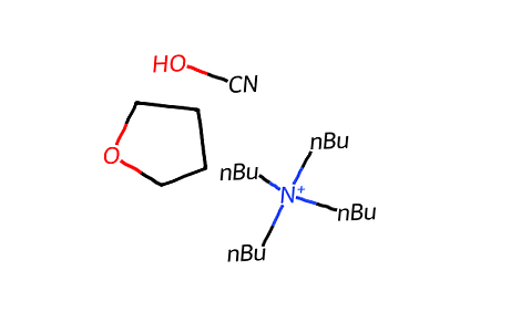 C1CCOC1.CCCC[N+](CCCC)(CCCC)CCCC.N#CO